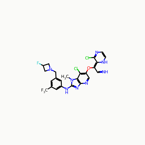 Cn1c(Nc2cc(CN3CC(F)C3)cc(C(F)(F)F)c2)nc2ncc(O/C(C=N)=C3/NC=CN=C3Cl)c(Cl)c21